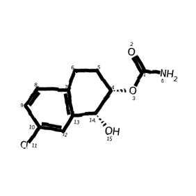 NC(=O)O[C@H]1CCc2ccc(Cl)cc2[C@H]1O